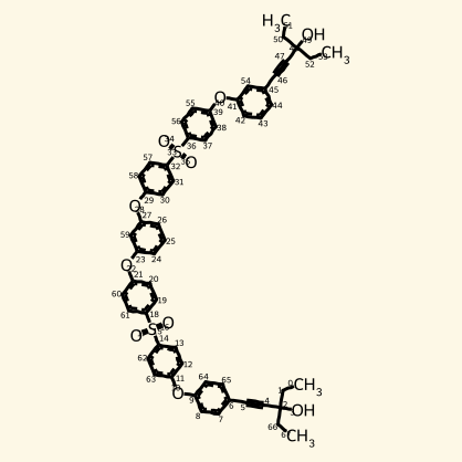 CCC(O)(C#Cc1ccc(Oc2ccc(S(=O)(=O)c3ccc(Oc4cccc(Oc5ccc(S(=O)(=O)c6ccc(Oc7cccc(C#CC(O)(CC)CC)c7)cc6)cc5)c4)cc3)cc2)cc1)CC